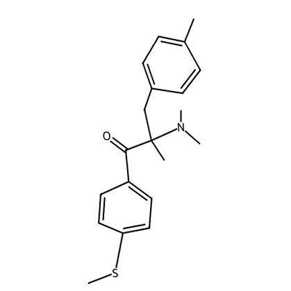 CSc1ccc(C(=O)C(C)(Cc2ccc(C)cc2)N(C)C)cc1